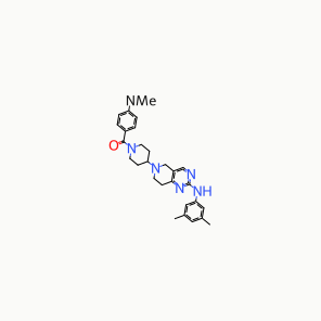 CNc1ccc(C(=O)N2CCC(N3CCc4nc(Nc5cc(C)cc(C)c5)ncc4C3)CC2)cc1